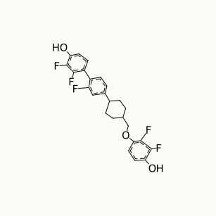 Oc1ccc(OCC2CCC(c3ccc(-c4ccc(O)c(F)c4F)c(F)c3)CC2)c(F)c1F